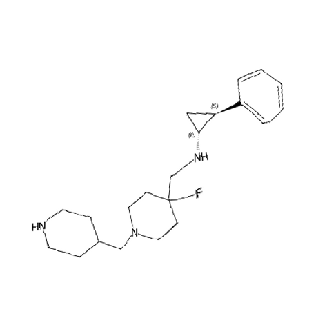 FC1(CN[C@@H]2C[C@H]2c2ccccc2)CCN(CC2CCNCC2)CC1